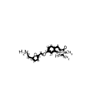 CN(C(=N)N)C(=O)c1cc2ccc(OCc3ccc(CN)o3)cc2[nH]1